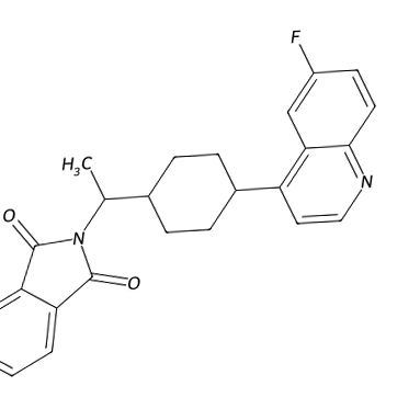 CC(C1CCC(c2ccnc3ccc(F)cc23)CC1)N1C(=O)c2ccccc2C1=O